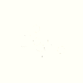 CNCCN(C)S(=O)(=O)c1ccccc1-c1ccc2nc(N)nc(C(=O)N3Cc4ccccc4C3)c2c1